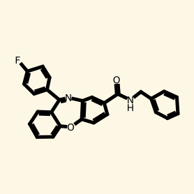 O=C(NCc1ccccc1)c1ccc2c(c1)N=C(c1ccc(F)cc1)c1ccccc1O2